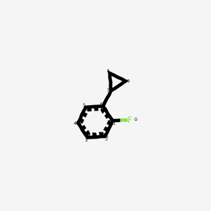 Fc1[c]cccc1C1CC1